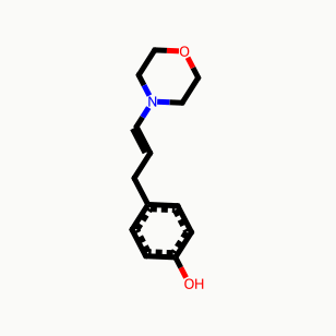 Oc1ccc(CC=CN2CCOCC2)cc1